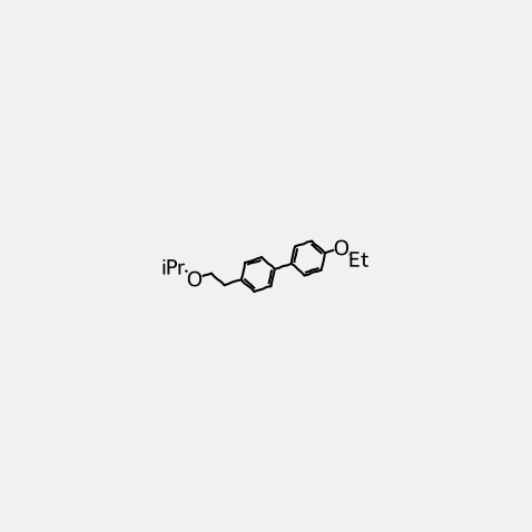 CCOc1ccc(-c2ccc(CCOC(C)C)cc2)cc1